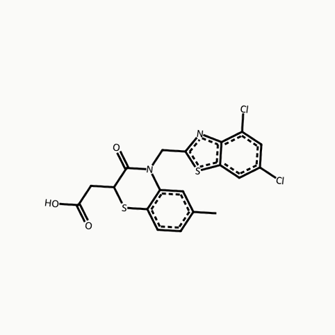 Cc1ccc2c(c1)N(Cc1nc3c(Cl)cc(Cl)cc3s1)C(=O)C(CC(=O)O)S2